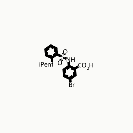 CCCC(C)c1ccccc1S(=O)(=O)Nc1ccc(Br)cc1C(=O)O